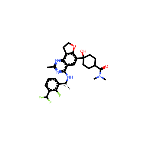 Cc1nc(N[C@H](C)c2cccc(C(F)F)c2F)c2cc(C3(O)CCC(C(=O)N(C)C)CC3)c3c(c2n1)CCO3